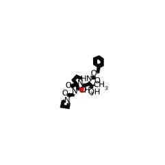 CC1N(CC(=O)N2CCCC2)C(=O)C12CCCN2C(=O)[C@@H](NC(=O)OCc1ccccc1)[C@@H](C)O